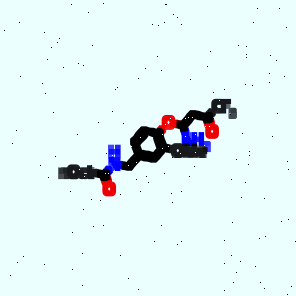 CCCCCCCCC(=O)NCc1ccc(OC(N)CC(=O)C(F)(F)F)c(OC)c1